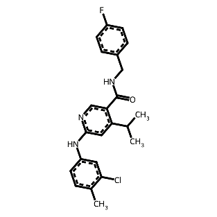 Cc1ccc(Nc2cc(C(C)C)c(C(=O)NCc3ccc(F)cc3)cn2)cc1Cl